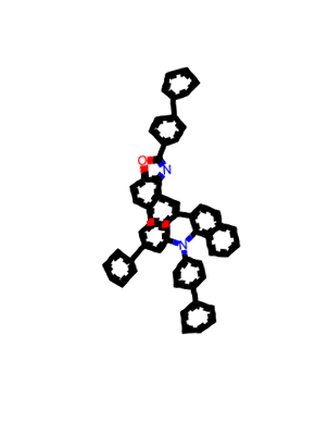 c1ccc(-c2ccc(-c3nc4c(ccc5ccc(-c6ccc7ccccc7c6N(c6ccc(-c7ccccc7)cc6)c6cccc(-c7ccccc7)c6)cc54)o3)cc2)cc1